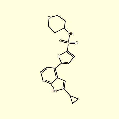 O=S(=O)(NC1CCOCC1)c1ccc(-c2ccnc3[nH]c(C4CC4)cc23)s1